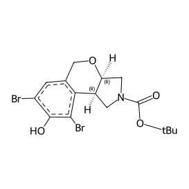 CC(C)(C)OC(=O)N1C[C@@H]2OCc3cc(Br)c(O)c(Br)c3[C@@H]2C1